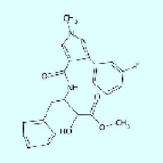 COC(=O)C(O)C(Cc1ccccc1)NC(=O)c1cn(C)nc1-c1cccc(F)c1